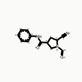 N#CC1CC(C(=O)Nc2ccccc2)CN1C=O